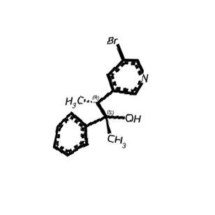 C[C@H](c1cncc(Br)c1)[C@](C)(O)c1ccccc1